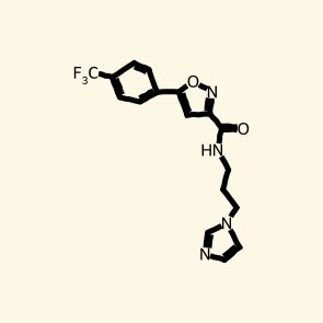 O=C(NCCCn1ccnc1)c1cc(-c2ccc(C(F)(F)F)cc2)on1